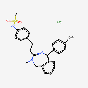 COc1ccc(C2N=C(CCc3ccc(NS(C)(=O)=O)cc3)N(C)Cc3ccccc32)cc1.Cl